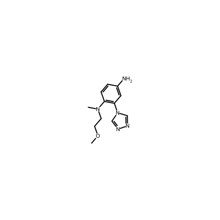 COCCN(C)c1ccc(N)cc1-n1cnnc1